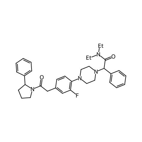 CCN(CC)C(=O)C(c1ccccc1)N1CCN(c2ccc(CC(=O)N3CCCC3c3ccccc3)cc2F)CC1